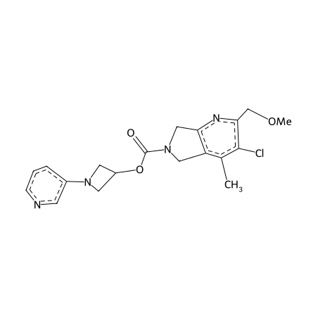 COCc1nc2c(c(C)c1Cl)CN(C(=O)OC1CN(c3cccnc3)C1)C2